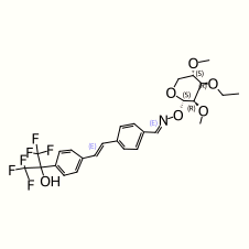 CCO[C@H]1[C@@H](OC)[C@H](O/N=C/c2ccc(/C=C/c3ccc(C(O)(C(F)(F)F)C(F)(F)F)cc3)cc2)OC[C@@H]1OC